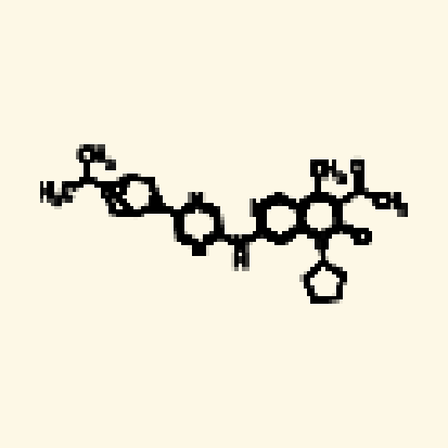 CC(=O)c1c(C)c2cnc(Nc3cnc(N4CC5CC4CN5C(C)C)cn3)cc2n(C2CCCC2)c1=O